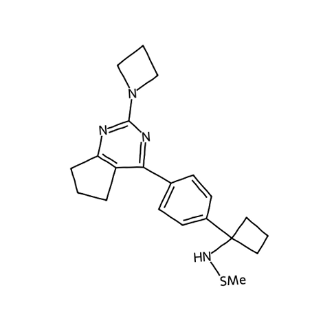 CSNC1(c2ccc(-c3nc(N4CCC4)nc4c3CCC4)cc2)CCC1